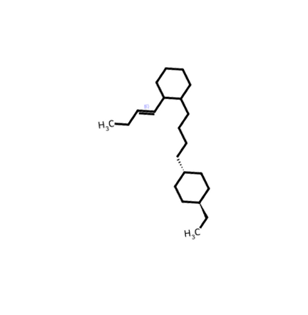 CC/C=C/C1CCCCC1CCCC[C@H]1CC[C@H](CC)CC1